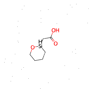 O=C(O)C[SiH]1CCCCO1